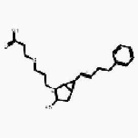 O=C(O)CCOCCC[C@@H]1C(O)CC2C(/C=C/CCc3ccccc3)C21